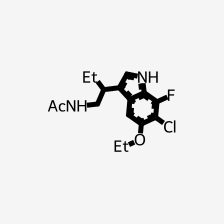 CCOc1cc2c(C(CC)CNC(C)=O)c[nH]c2c(F)c1Cl